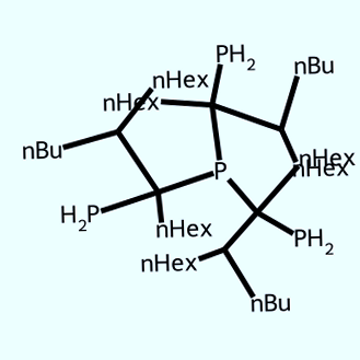 CCCCCCC(CCCC)C(P)(CCCCCC)P(C(P)(CCCCCC)C(CCCC)CCCCCC)C(P)(CCCCCC)C(CCCC)CCCCCC